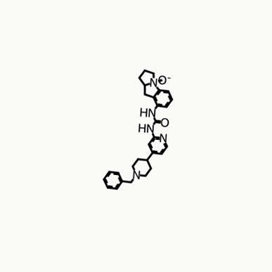 O=C(Nc1cc(C2CCN(Cc3ccccc3)CC2)ccn1)Nc1cccc2c1CC1CCC[N+]21[O-]